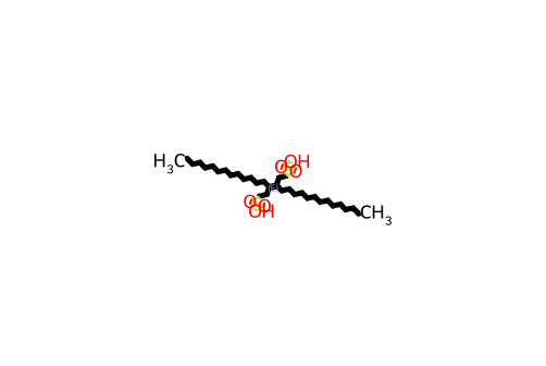 CCCCCCCCCCCCCC/C(CCS(=O)(=O)O)=C(/CCCCCCCCCCCCCC)CCS(=O)(=O)O